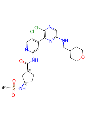 CC(C)S(=O)(=O)N[C@@H]1CC[C@H](C(=O)Nc2cc(-c3nc(NCC4CCOCC4)cnc3Cl)c(Cl)cn2)C1